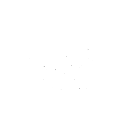 c1ccc(-c2cc(N(c3ccc4ccccc4c3)c3cccc4c3sc3ccccc34)ccc2-c2cccc3c2sc2ccccc23)cc1